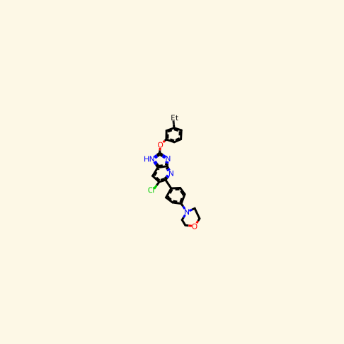 CCc1cccc(Oc2nc3nc(-c4ccc(N5CCOCC5)cc4)c(Cl)cc3[nH]2)c1